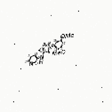 COc1ccc(OC)c(N(CC(=O)Nc2cccnc2)C(C)=O)c1